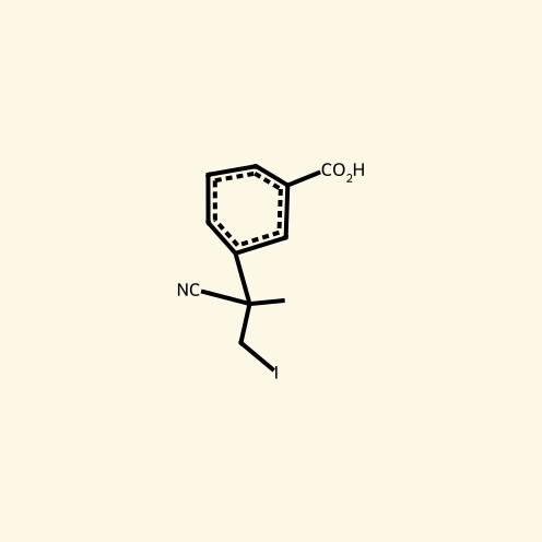 CC(C#N)(CI)c1cccc(C(=O)O)c1